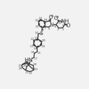 O=C1CCC(N2Cc3c(SCc4ccc(CCCNC56CC7CC(CC(C7)C5)C6)cc4)cccc3C2=O)C(=O)N1